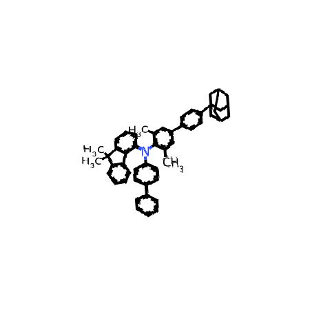 Cc1cc(-c2ccc(C34CC5CC(CC(C5)C3)C4)cc2)cc(C)c1N(c1ccc(-c2ccccc2)cc1)c1cccc2c1-c1ccccc1C2(C)C